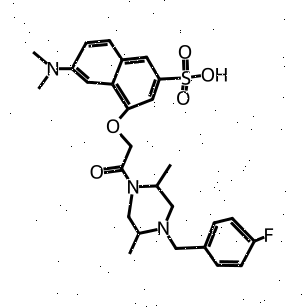 CC1CN(C(=O)COc2cc(S(=O)(=O)O)cc3ccc(N(C)C)cc23)C(C)CN1Cc1ccc(F)cc1